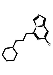 Clc1cc(CCCC2CCCCC2)n2cncc2c1